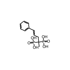 CC(CC=Cc1ccccc1)(P(=O)(O)O)P(=O)(O)O